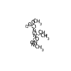 COc1ccc(N2CCN(C(=O)Cc3nc(C)no3)C(CC(C)C)C2)cc1OC1CCC1